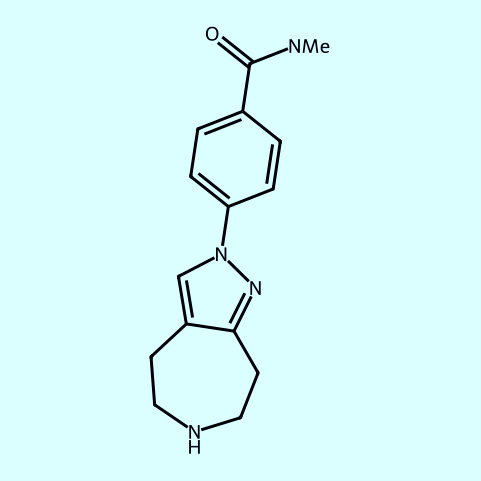 CNC(=O)c1ccc(-n2cc3c(n2)CCNCC3)cc1